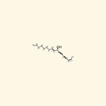 C/C=C\C#CC#CC(O)/C=C/CCCCCCC